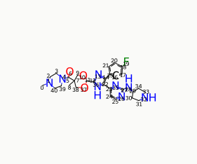 CN1CCN(C(=O)C2(C)COC(c3nc(-c4ccc(F)cc4)c(-c4ccnc(NC5CCNCC5)n4)[nH]3)OC2)CC1